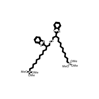 CO[Si](CCCCCCCCCCC(CSSCC(CCCCCCCCCC[Si](OC)(OC)OC)c1nc2ccccc2s1)c1nc2ccccc2s1)(OC)OC